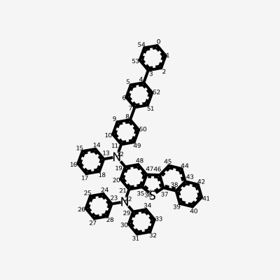 c1ccc(-c2ccc(-c3ccc(N(c4ccccc4)c4cc(N(c5ccccc5)c5ccccc5)c5sc6c7ccccc7ccc6c5c4)cc3)cc2)cc1